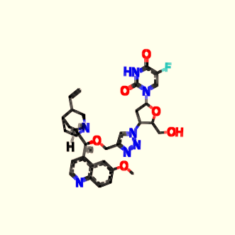 C=CC1C[N@@]2CCC1C[C@@H]2[C@@H](OCc1cn(C2CC(n3cc(F)c(=O)[nH]c3=O)OC2CO)nn1)c1ccnc2ccc(OC)cc12